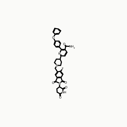 NC(=O)c1ccc(C2CCN(Cc3cc4c(cc3F)C(=O)N(C3CCC(=O)NC3=O)C4=O)CC2)nc1-c1ccc(Oc2ccccc2)cc1